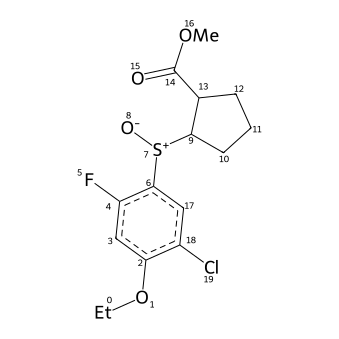 CCOc1cc(F)c([S+]([O-])C2CCCC2C(=O)OC)cc1Cl